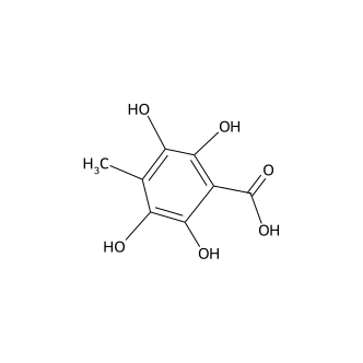 Cc1c(O)c(O)c(C(=O)O)c(O)c1O